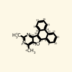 Cc1nc(C)c2oc3c4ccccc4c4ccccc4c3c2n1